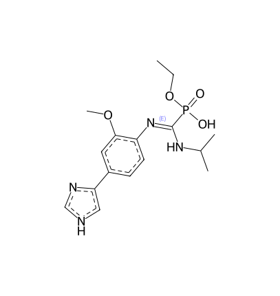 CCOP(=O)(O)/C(=N/c1ccc(-c2c[nH]cn2)cc1OC)NC(C)C